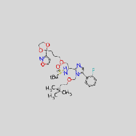 CC(C)(C)[S@@+]([O-])NC(COCCCC1(c2ccon2)OCCO1)c1ncc(-c2ccccc2F)n1COCC[Si](C)(C)C